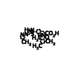 Cc1ccnc(NCc2nnc(-c3ccc(CC(NC(=O)c4c(C)cc(C)cc4C)C(=O)O)cc3)s2)c1